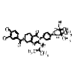 CC(C)Nc1nc2c(c(=O)n1-c1ccc(B3OC(C)(C)C(C)(C)O3)cc1)CCN(C(=O)c1ccc(Cl)c(Cl)c1)C2